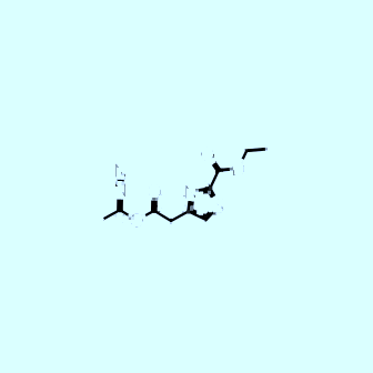 CCOC(=O)c1nc(CC(=O)OC(C)=[N+]=[N-])cs1